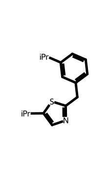 CC(C)c1cccc(Cc2ncc(C(C)C)s2)c1